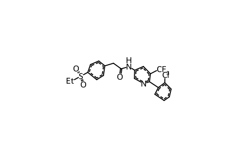 CCS(=O)(=O)c1ccc(CC(=O)Nc2cnc(-c3ccccc3Cl)c(C(F)(F)F)c2)cc1